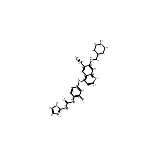 [C-]#[N+]c1cc2c(Oc3ccc(NC(=O)Nc4nccs4)c(F)c3)ccnc2cc1OCC1CCNCC1